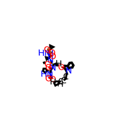 C=C[C@@H]1C[C@]1(NC(=O)[C@@H]1C[C@@H]2CN1C(=O)[C@H](C1CCCC1)NC(=O)O[C@H]1CCC[C@@H]1CCCCCc1nc3ccccc3cc1O2)C(=O)NS(=O)(=O)C1CC1